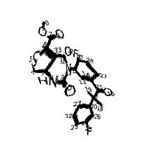 COC(=O)c1scc2[nH]c(=O)n(-c3cc(C(=O)C(C)(C)c4cccc(F)c4)ccc3F)c(=O)c12